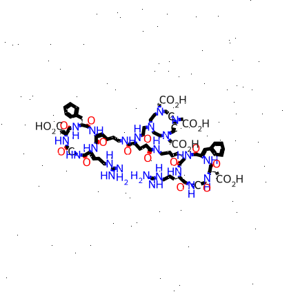 N=C(N)NCC/C=C1\NC(=O)/C(=C\CCCNC(=O)C(CCC(=O)NCCCC[C@@H]2NC(=O)/C(=C/c3ccccc3)NC(=O)[C@H](CC(=O)O)NC(=O)CNC(=O)[C@H](CCCNC(=N)N)NC2=O)NC(=O)CN2CCN(CC(=O)O)CCN(CC(=O)O)CCN(CC(=O)O)CC2)NC(=O)[C@@H](Cc2ccccc2)NC(=O)/C(=C\C(=O)O)NC(=O)CNC1=O